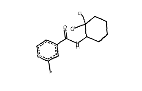 O=C(NC1CCCCC1(Cl)Cl)c1ccnc(F)c1